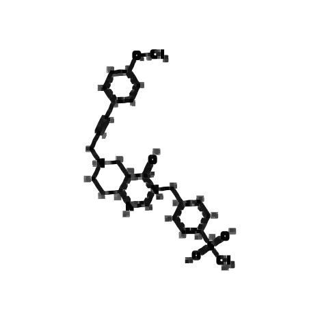 COc1ccc(C#CCN2CCc3ncn(Cc4ccc(S(C)(=O)=O)cc4)c(=O)c3C2)cc1